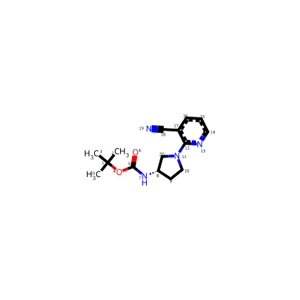 CC(C)(C)OC(=O)N[C@H]1CCN(c2ncccc2C#N)C1